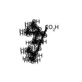 O=C(O)CCCCCNC(=O)C(CCCCNC(=O)CCCCC(=O)NCCO[C@H]1O[C@H](CO[C@H]2O[C@H](CO)[C@@H](O)[C@H](O)[C@@H]2O)[C@@H](O)[C@H](O[C@H]2O[C@H](CO)[C@@H](O)[C@H](O)[C@@H]2O)[C@@H]1O)NC(=O)CCC(C(=O)NCCO[C@H]1O[C@H](CO)[C@@H](O)[C@H](O)[C@@H]1O)N(CC(=O)NCCO[C@H]1O[C@H](CO)[C@@H](O)[C@H](O)[C@@H]1O)CC(=O)NCCO[C@H]1O[C@H](CO)[C@@H](O)[C@H](O)[C@@H]1O